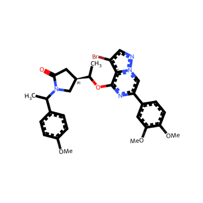 COc1ccc(C(C)N2C[C@H](C(C)Oc3nc(-c4ccc(OC)c(OC)c4)cn4ncc(Br)c34)CC2=O)cc1